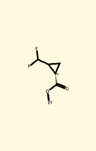 CCOC(=O)[C@H]1CC1C(F)F